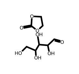 O=C1OCCO1.O=CC(O)C(O)C(O)CO